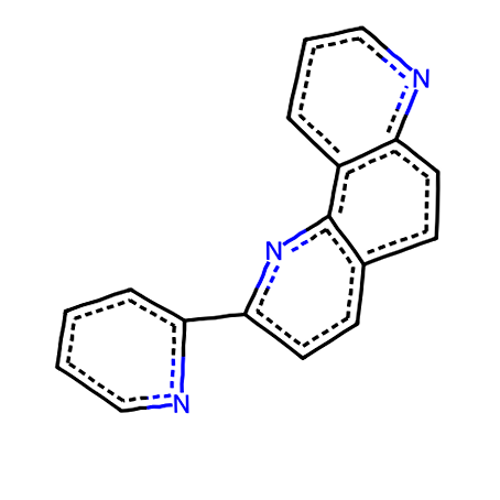 c1ccc(-c2ccc3ccc4ncccc4c3n2)nc1